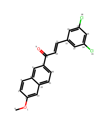 COc1ccc2cc(C(=O)/C=C/c3cc(Cl)cc(Cl)c3)ccc2c1